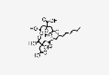 CCCCCCC(COC(=O)CC(O)(CC(=O)O)C(=O)O)OC(=O)CC(O)(CC(=O)O)C(=O)O